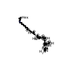 C=C(C/C=C\CCCCCCCC(=O)SCCNC(=O)CCNC(=O)[C@H](O)C(C)(C)COP(=O)(O)OP(=O)(O)OC[C@H]1O[C@@H](n2cnc3c(N)ncnc32)[C@H](O)[C@@H]1OP(=O)(O)O)CCCCCC